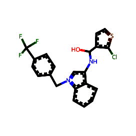 OC(Nc1cn(Cc2ccc(C(F)(F)F)cc2)c2ccccc12)c1ccsc1Cl